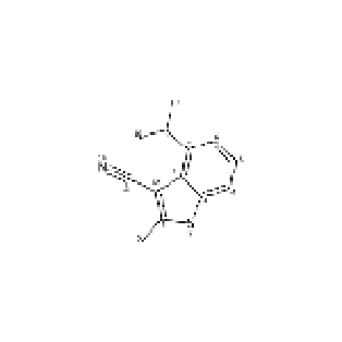 Cc1sc2cccc(C(C)C)c2c1C#N